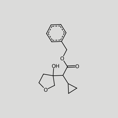 O=C(OCc1ccccc1)C(C1CC1)C1(O)CCOC1